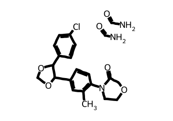 Cc1cc(C2OCOC2c2ccc(Cl)cc2)ccc1N1CCOCC1=O.NC=O.NC=O